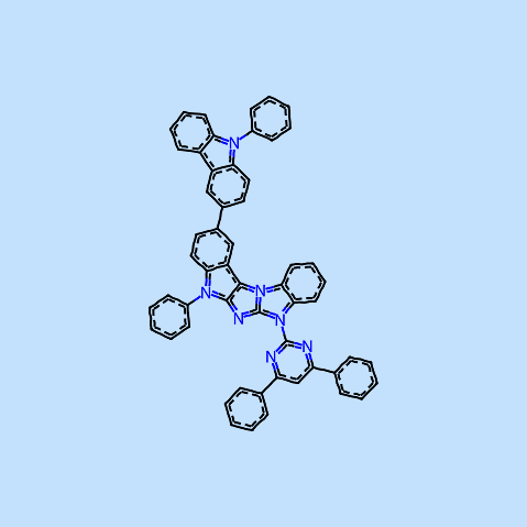 c1ccc(-c2cc(-c3ccccc3)nc(-n3c4ccccc4n4c5c6cc(-c7ccc8c(c7)c7ccccc7n8-c7ccccc7)ccc6n(-c6ccccc6)c5nc34)n2)cc1